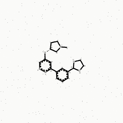 CN1CC[C@@H](Oc2cnnc(-c3cccc(C4OCCO4)c3)c2)C1